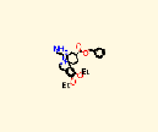 CCOc1cc2c(cc1OCC)[C@]1(CC[C@H](C(=O)OCc3ccccc3)CC1)N(CCN)CC2